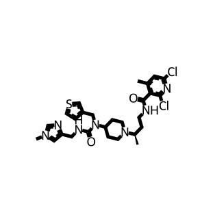 Cc1cc(Cl)nc(Cl)c1C(=O)NCC[C@@H](C)N1CCC(N(Cc2ccsc2)C(=O)NCc2cn(C)cn2)CC1